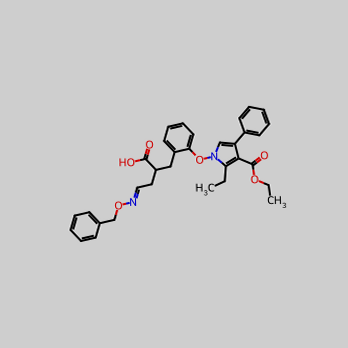 CCOC(=O)c1c(-c2ccccc2)cn(Oc2ccccc2CC(CC=NOCc2ccccc2)C(=O)O)c1CC